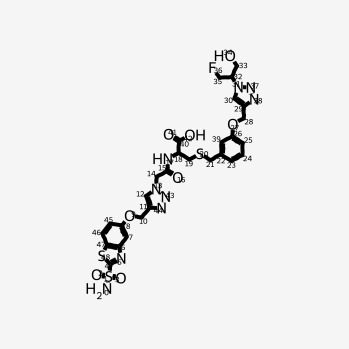 NS(=O)(=O)c1nc2cc(OCc3cn(CC(=O)NC(CSCc4cccc(OCc5cn(C(CO)CF)nn5)c4)C(=O)O)nn3)ccc2s1